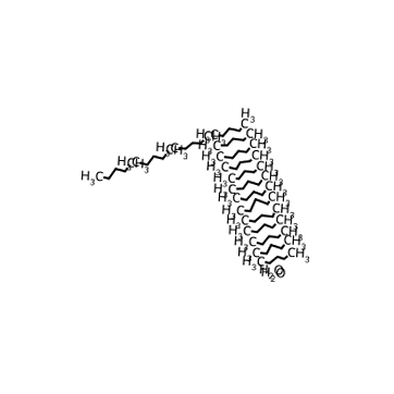 CCCCC.CCCCC.CCCCC.CCCCC.CCCCC.CCCCC.CCCCC.CCCCC.CCCCC.CCCCC.CCCCC.CCCCC.CCCCC.CCCCC.CCCCC.CCCCC.O.O